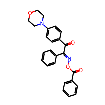 O=C(O/N=C(/C(=O)c1ccc(N2CCOCC2)cc1)c1ccccc1)c1ccccc1